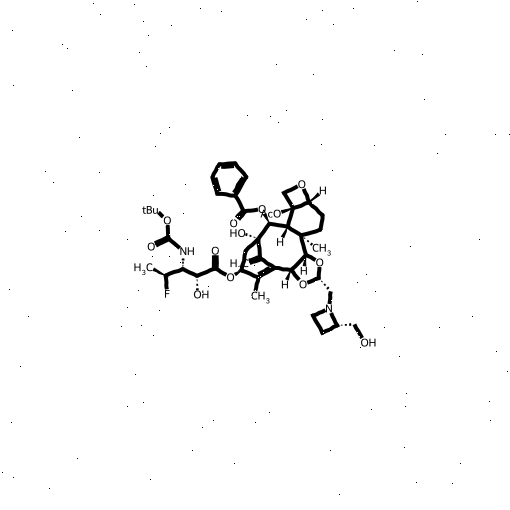 C=C1C2=C(C)[C@@H](OC(=O)[C@H](O)[C@@H](NC(=O)OC(C)(C)C)[C@H](C)F)C[C@@]1(O)[C@@H](OC(=O)c1ccccc1)[C@H]1[C@@](C)(CC[C@H]3OC[C@]31OC(C)=O)[C@@H]1O[C@H](CN3CC[C@H]3CO)O[C@H]21